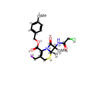 COc1ccc(COC(=O)C2=C(CI)CS[C@@H]3N2C(=O)C3(NC(=O)CCl)OC)cc1